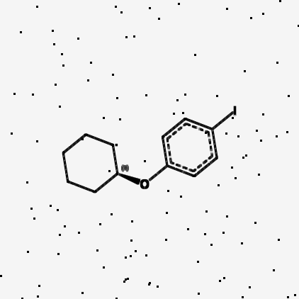 Ic1ccc(O[C@@H]2[CH]CCCC2)cc1